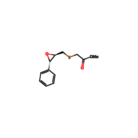 COC(=O)CSC[C@@H]1O[C@H]1c1ccccc1